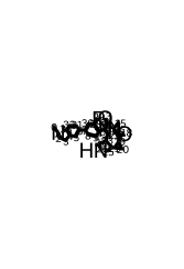 CN1CCc2cc(-c3ccc(N4C(=O)N(C)N(C(=O)C5CC5)C4C4CCNC4)c(F)c3)ccc21